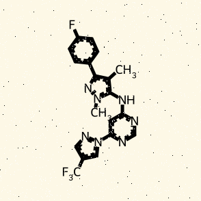 Cc1c(-c2ccc(F)cc2)nn(C)c1Nc1cc(-n2cc(C(F)(F)F)cn2)ncn1